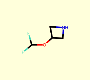 FC(F)OC1CNC1